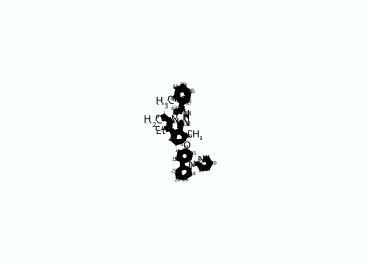 C=CC1=C(CC)C2=CC=C(Oc3ccc4c(c3)N(c3ccccn3)C3C=CC=CC43)C(C)C2C2=NN=C(c3ccccc3C)CN21